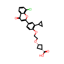 O=c1cc(-c2ccc(OCCO[C@H]3C[C@@H](C(=O)O)C3)c(C3CC3)c2)oc2c(Cl)cccc12